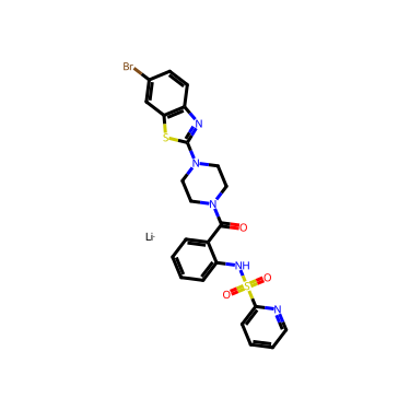 O=C(c1ccccc1NS(=O)(=O)c1ccccn1)N1CCN(c2nc3ccc(Br)cc3s2)CC1.[Li]